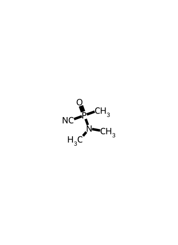 CN(C)P(C)(=O)C#N